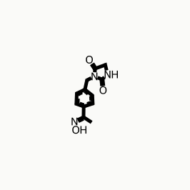 C/C(=N\O)c1ccc(CN2C(=O)CNC2=O)cc1